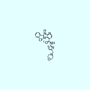 O=C(Nc1nc(CN2CCOCC2)cs1)c1ccnc2[nH]c(-c3ccccc3C(F)(F)F)nc12